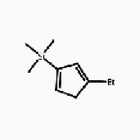 CCC1=CC([Si](C)(C)C)=C[CH]1